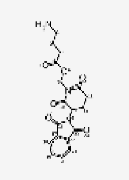 NCCCC(=O)OCN1C(=O)CCC(N2C(=O)c3ccccc3C2=O)C1=O